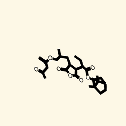 C=C(CC(C)=O)OCC(C)CC1C(=O)OC(=O)C1C(CC)C(=O)OC1CC2CCC1(C)C2(C)C